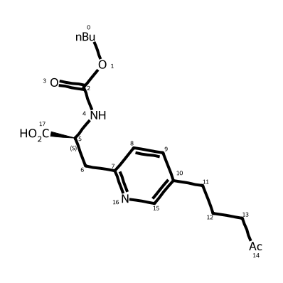 CCCCOC(=O)N[C@@H](Cc1ccc(CCCC(C)=O)cn1)C(=O)O